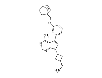 NC[C@H]1C[C@H](n2cc(-c3cccc(OCC45CCC(CC4)O5)c3)c3c(N)ncnc32)C1